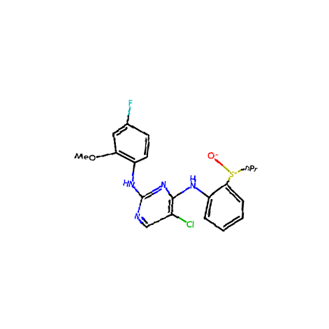 CCC[S+]([O-])c1ccccc1Nc1nc(Nc2ccc(F)cc2OC)ncc1Cl